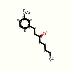 CC(=O)CCCCC(=O)CCc1cccc(OC(C)=O)c1